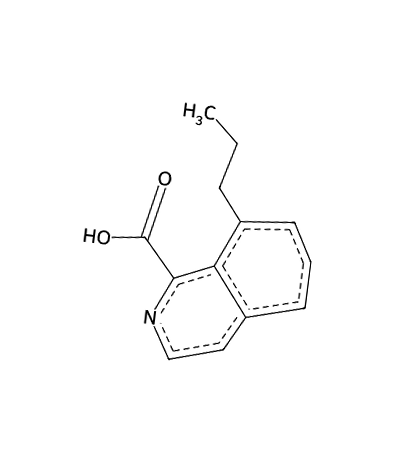 CCCc1cccc2ccnc(C(=O)O)c12